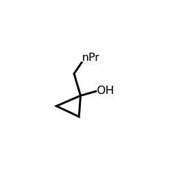 CCCCC1(O)CC1